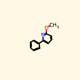 COc1c[c]cc(-c2ccccc2)n1